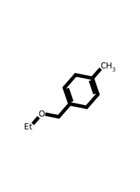 [CH2]COCC1=CCC(C)=CC1